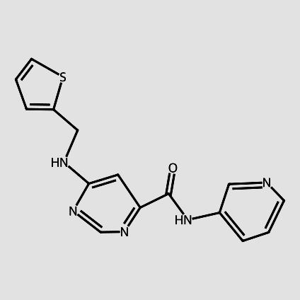 O=C(Nc1cccnc1)c1cc(NCc2cccs2)ncn1